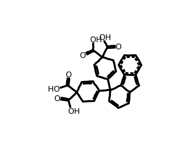 O=C(O)C1(C(=O)O)C=CC(C2(C3=CCC(C(=O)O)(C(=O)O)C=C3)C=CC=C3C=c4ccccc4=C32)=CC1